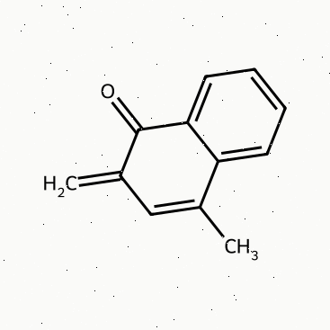 C=C1C=C(C)c2ccccc2C1=O